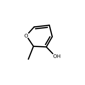 CC1OC=CC=C1O